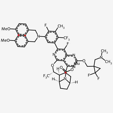 COc1ccc(CN(Cc2ccc(OC)cc2)c2cc(-c3nc4c5c(nc(OCC6(CN(C)C)CC6(F)F)nc5c3F)N3C[C@H]5CC[C@@H]([C@H]3[C@H](C(F)(F)F)O4)N5C(=O)OC(C)(C)C)c(C(F)(F)F)c(C)c2F)cc1